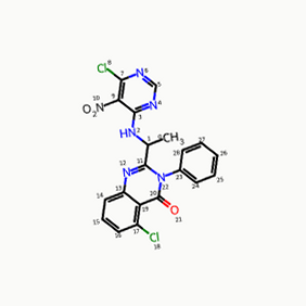 CC(Nc1ncnc(Cl)c1[N+](=O)[O-])c1nc2cccc(Cl)c2c(=O)n1-c1ccccc1